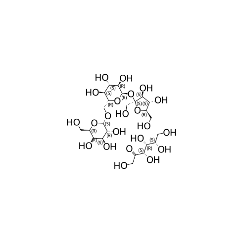 O=C(CO)[C@@H](O)[C@H](O)[C@@H](O)CO.OC[C@H]1O[C@H](OC[C@H]2O[C@H](O[C@]3(CO)O[C@H](CO)[C@@H](O)[C@@H]3O)[C@H](O)[C@@H](O)[C@@H]2O)[C@H](O)[C@@H](O)[C@H]1O